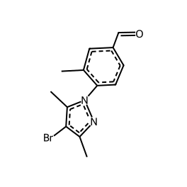 Cc1cc(C=O)ccc1-n1nc(C)c(Br)c1C